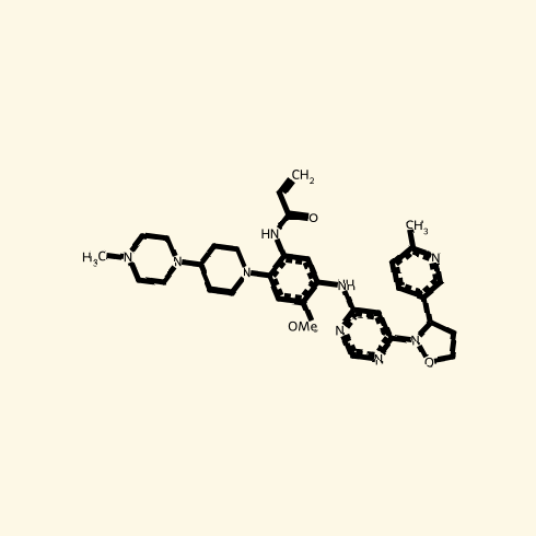 C=CC(=O)Nc1cc(Nc2cc(N3OCCC3c3ccc(C)nc3)ncn2)c(OC)cc1N1CCC(N2CCN(C)CC2)CC1